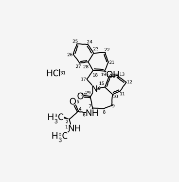 CN[C@@H](C)C(=O)N[C@H]1CCc2ccccc2N(Cc2c(O)ccc3ccccc23)C1=O.Cl